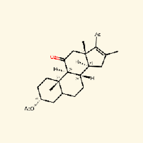 CC(=O)O[C@@H]1CC[C@@]2(C)C(CC[C@@H]3[C@@H]2C(=O)C[C@]2(C)C(C(C)=O)=C(C)C[C@@H]32)C1